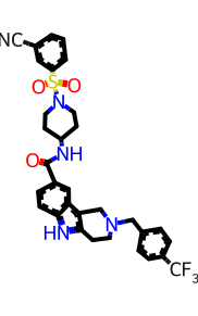 N#Cc1cccc(S(=O)(=O)N2CCC(NC(=O)c3ccc4[nH]c5c(c4c3)CN(Cc3ccc(C(F)(F)F)cc3)CC5)CC2)c1